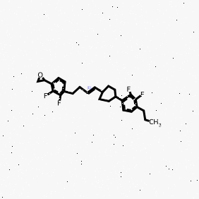 CCCc1ccc(C2CCC(/C=C/CCc3ccc(C4CO4)c(F)c3F)CC2)c(F)c1F